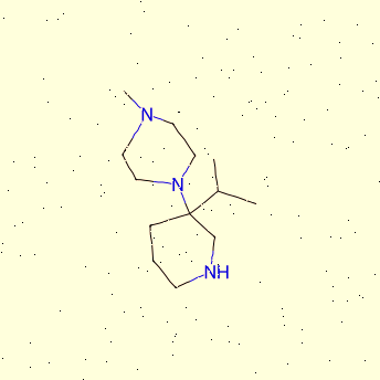 CC(C)C1(N2CCN(C)CC2)CCCNC1